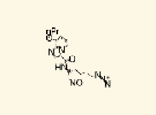 CCCOc1cccn2c(C(=O)N[C@H](CCCCN=[N+]=[N-])CN=O)cnc12